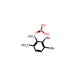 CCCCc1ccc(C(=O)O)c(C(=O)O)c1CCCC.O=[Si](O)O